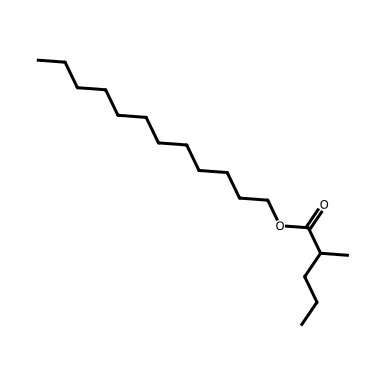 CCCCCCCCCCCCOC(=O)C(C)CCC